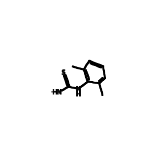 Cc1cccc(C)c1NC([NH])=S